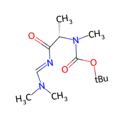 C[C@@H](C(=O)/N=C/N(C)C)N(C)C(=O)OC(C)(C)C